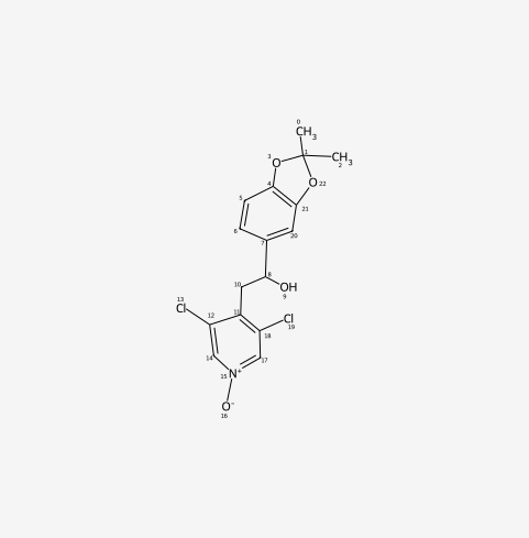 CC1(C)Oc2ccc(C(O)Cc3c(Cl)c[n+]([O-])cc3Cl)cc2O1